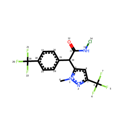 Cn1nc(C(F)(F)F)cc1C(C(=O)NCl)c1ccc(C(F)(F)F)cc1